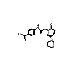 NC(=O)c1ccc(NC(=O)Cn2nc(N3CCSCC3)ccc2=O)cc1